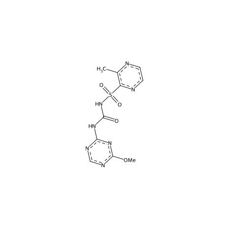 COc1ncnc(NC(=O)NS(=O)(=O)c2nccnc2C)n1